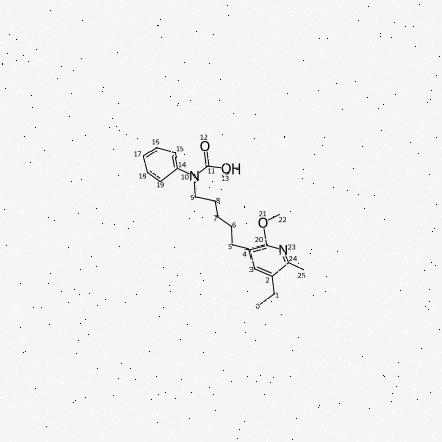 CCc1cc(CCCCCN(C(=O)O)c2ccccc2)c(OC)nc1C